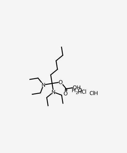 CCCCCC(OC(=O)O)(N(CC)CC)N(CC)CC.Cl.Cl.O